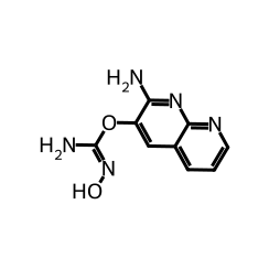 NC(=NO)Oc1cc2cccnc2nc1N